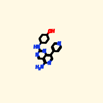 Nc1ncc(-c2ccncc2)c2nc(N[C@H]3CC[C@H](O)CC3)ncc12